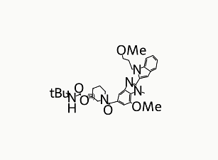 COCCCn1c(-c2nc3cc(C(=O)N4CCC[C@@H](OC(=O)NC(C)(C)C)C4)cc(OC)c3n2C)cc2ccccc21